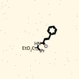 CCOC(=O)[C@@H](NC(=O)C=Cc1ccccc1)C(C)C